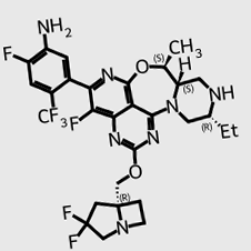 CC[C@@H]1CN2c3nc(OC[C@]45CCN4CC(F)(F)C5)nc4c(F)c(-c5cc(N)c(F)cc5C(F)(F)F)nc(c34)O[C@@H](C)[C@@H]2CN1